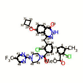 COC(=O)c1cccc(C)c1Cl.O=C(c1cccc(Cc2n[nH]c(=O)c3ccc(OC4CCC4)cc23)c1Cl)N1CCN(c2ncc(C(F)(F)F)cn2)CC1